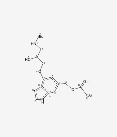 CCC(C)NCC(O)COc1cc(COC(=O)C(C)(C)C)cc2[nH]ccc12